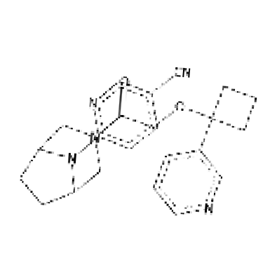 N#Cc1ccc(N2C3CCC2CN(C(=O)COC2(c4cccnc4)CCC2)C3)nc1